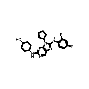 O[C@H]1CC[C@@H](Nc2ncc3nc(Nc4ccc(F)cc4F)n(C4CCCC4)c3n2)CC1